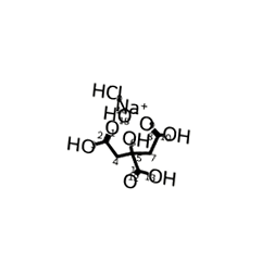 Cl.O=C(O)CC(O)(CC(=O)O)C(=O)O.[Na+].[OH-]